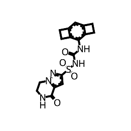 O=C(Nc1c2c(cc3c1CC3)CC2)NS(=O)(=O)c1cc2n(n1)CCNC2=O